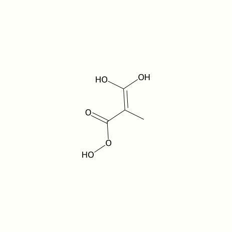 CC(C(=O)OO)=C(O)O